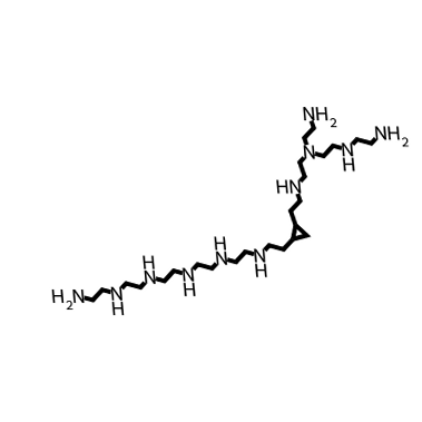 NCCNCCNCCNCCNCCNCCC1CC1CCNCCN(CCN)CCNCCN